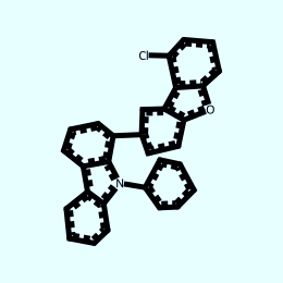 Clc1cccc2oc3ccc(-c4cccc5c6ccccc6n(-c6ccccc6)c45)cc3c12